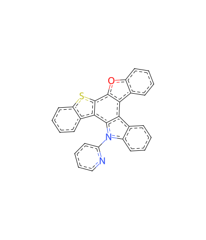 c1ccc(-n2c3ccccc3c3c4c5ccccc5oc4c4sc5ccccc5c4c32)nc1